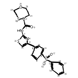 O=C(Nc1nc(-c2ccc(S(=O)(=O)c3ccccc3)cc2)cs1)N1CCOCS1